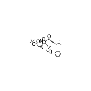 CC(C)CC#CC(=O)c1onc([C@@H](CCCOCc2ccccc2)CC(=O)OC(C)(C)C)c1C1CC1